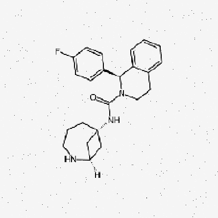 O=C(N[C@]12CCCN[C@H](C1)C2)N1CCc2ccccc2[C@@H]1c1ccc(F)cc1